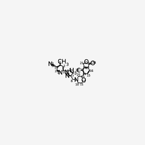 Cc1cc(-n2ccc(CN3CCO[C@H](c4ccc5c(c4C)COC5=O)C3)n2)ncc1C#N